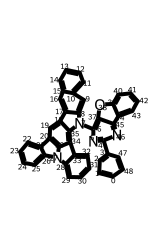 c1ccc(-c2nc(-n3c4cc5ccccc5cc4c4cc5c6ccccc6n6c7ccccc7c(c43)c56)c3oc4ccccc4c3n2)cc1